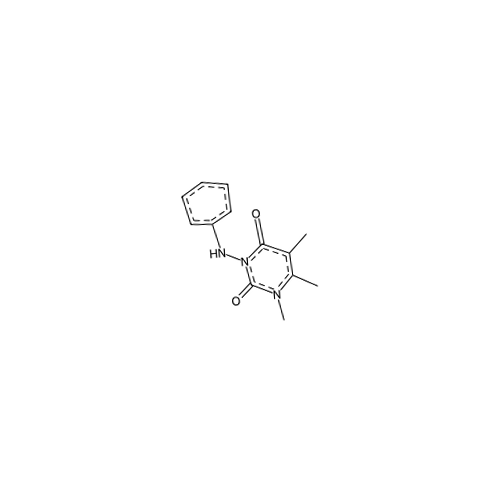 Cc1c(C)n(C)c(=O)n(Nc2ccccc2)c1=O